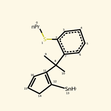 CCCSc1ccccc1C(C)(C)C1=[C]([SnH])CC=C1